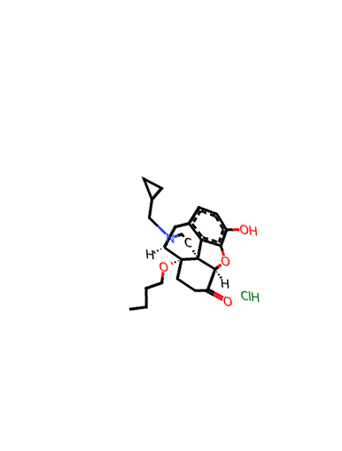 CCCCO[C@@]12CCC(=O)[C@@H]3Oc4c(O)ccc5c4[C@@]31CCN(CC1CC1)[C@@H]2C5.Cl